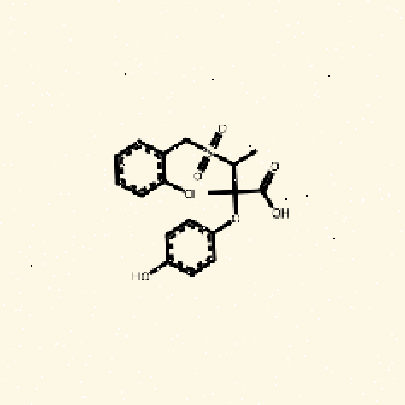 CC(C(C)(Oc1ccc(O)cc1)C(=O)O)S(=O)(=O)Cc1ccccc1Cl